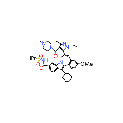 COc1ccc2c(c1)C=C(c1c(C(=O)N3CCN(C)CC3)c(C)nn1C(C)C)Cn1c-2c(C2CCCCC2)c2ccc(C(=O)NS(=O)(=O)C(C)C)cc21